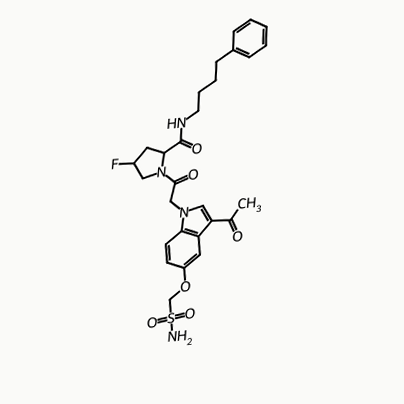 CC(=O)c1cn(CC(=O)N2CC(F)CC2C(=O)NCCCCc2ccccc2)c2ccc(OCS(N)(=O)=O)cc12